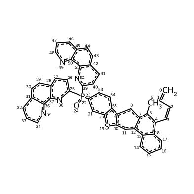 C=C/C=C\c1c(C)c2cc3c(cc2c2ccccc12)sc1cc(P(=O)(c2ccc4ccc5cccnc5c4n2)c2ccc4ccc5cccnc5c4n2)ccc13